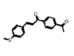 CSc1ccc(C=CC(=O)c2ccc(C(C)=O)cc2)cc1